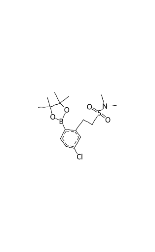 CN(C)S(=O)(=O)CCc1cc(Cl)ccc1B1OC(C)(C)C(C)(C)O1